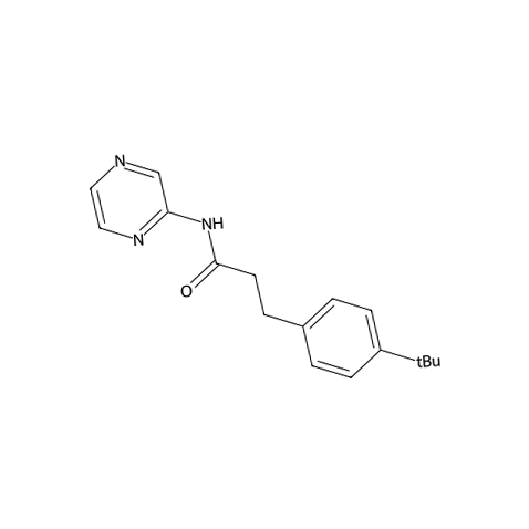 CC(C)(C)c1ccc(CCC(=O)Nc2cnccn2)cc1